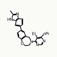 CCCc1ncnc(N2CCOc3ccc(-c4ccc5nc(C)[nH]c5c4)cc3C2)c1CC